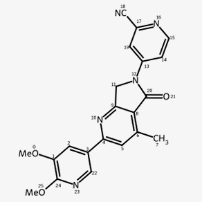 COc1cc(-c2cc(C)c3c(n2)CN(c2ccnc(C#N)c2)C3=O)cnc1OC